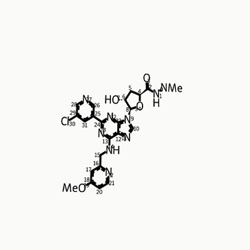 CNNC(=O)[C@@H]1C[C@@H](O)[C@H](n2cnc3c(NCc4cc(OC)ccn4)nc(-c4cncc(Cl)c4)nc32)O1